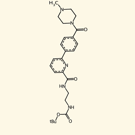 CN1CCN(C(=O)c2ccc(-c3cccc(C(=O)NCCNC(=O)OC(C)(C)C)n3)cc2)CC1